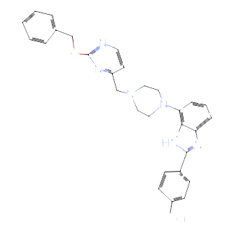 CC(C)(C)c1ccc(-c2nc3cccc(N4CCN(Cc5ccnc(OCc6ccccc6)n5)CC4)c3[nH]2)cc1